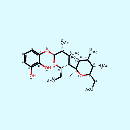 CC(=O)OC[C@H]1O[C@@](C)([C@H]2[C@H](OC(C)=O)[C@@H](OC(C)=O)[C@H](Oc3cccc(O)c3O)O[C@@H]2COC(C)=O)[C@H](OC(C)=O)[C@@H](OC(C)=O)[C@@H]1OC(C)=O